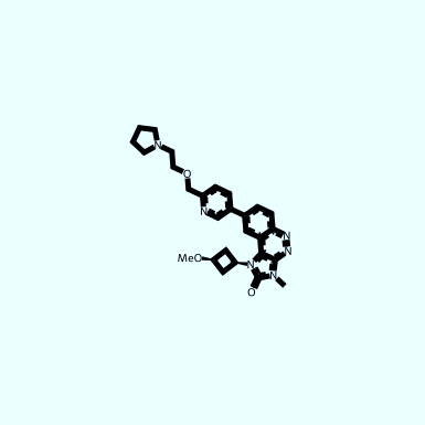 CO[C@H]1C[C@@H](n2c(=O)n(C)c3nnc4ccc(-c5ccc(COCCN6CCCC6)nc5)cc4c32)C1